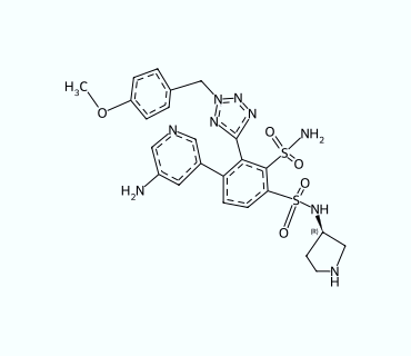 COc1ccc(Cn2nnc(-c3c(-c4cncc(N)c4)ccc(S(=O)(=O)N[C@@H]4CCNC4)c3S(N)(=O)=O)n2)cc1